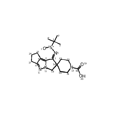 CC(C)(C)[S@+]([O-])/N=C1\c2c3c(nn2CC12CCN(C(=O)O)CC2)CCC3